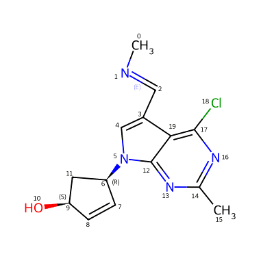 C/N=C/c1cn([C@H]2C=C[C@@H](O)C2)c2nc(C)nc(Cl)c12